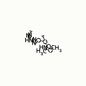 Cc1cccc(C(C)NC(=O)c2ccc(C3CC3)c(-c3ccc4nc(Nc5cnn(C6CC6)c5)ncc4c3)c2)c1